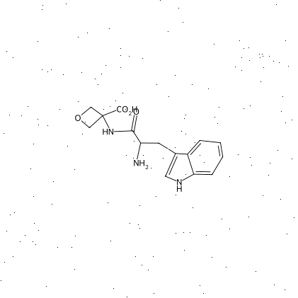 NC(Cc1c[nH]c2ccccc12)C(=O)NC1(C(=O)O)COC1